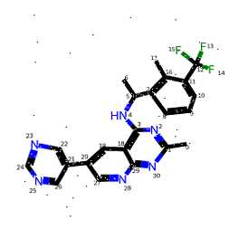 Cc1nc(NC(C)c2cccc(C(F)(F)F)c2C)c2cc(-c3cncnc3)cnc2n1